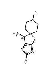 CC(C)N1CCC2(CC1)Cc1sc(Cl)nc1[C@H]2N